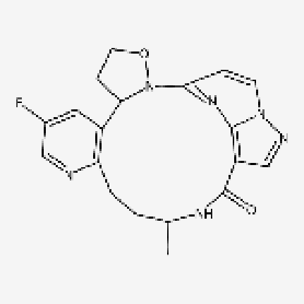 CC1CCc2ncc(F)cc2C2CCON2c2ccn3ncc(c3n2)C(=O)N1